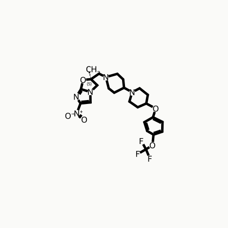 C[C@]1(CN2CCC(N3CCC(Oc4ccc(OC(F)(F)F)cc4)CC3)CC2)Cn2cc([N+](=O)[O-])nc2O1